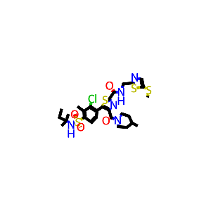 CCC(C)(C)NS(=O)(=O)c1ccc(-c2sc(C(=O)NCc3ncc(SC)s3)nc2C(=O)N2CCC(C)CC2)c(Cl)c1C